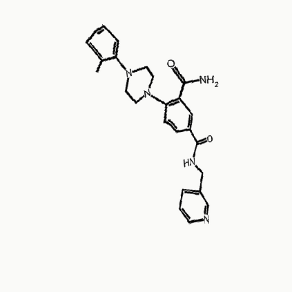 Cc1ccccc1N1CCN(c2ccc(C(=O)NCc3cccnc3)cc2C(N)=O)CC1